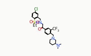 CCS(=O)(=O)c1ccc(Cl)cc1CNCC(=O)c1ccc(CN2CCC[C@H](N(C)C)C2)c(C(F)(F)F)c1